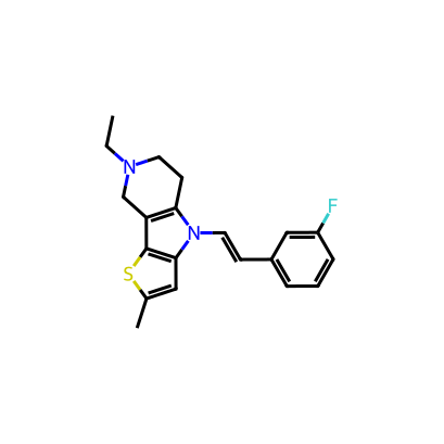 CCN1CCc2c(c3sc(C)cc3n2/C=C/c2cccc(F)c2)C1